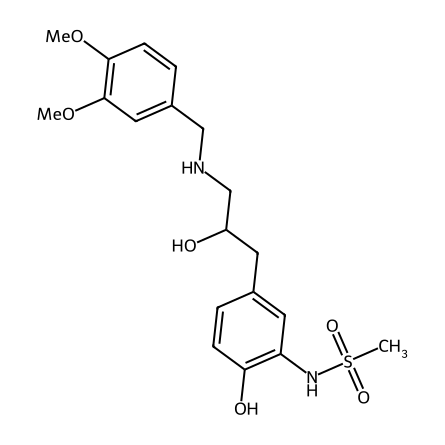 COc1ccc(CNCC(O)Cc2ccc(O)c(NS(C)(=O)=O)c2)cc1OC